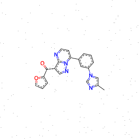 Cc1cn(-c2cccc(-c3ccnc4c(C(=O)c5ccco5)cnn34)c2)cn1